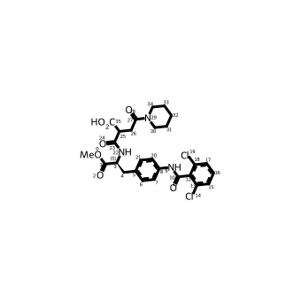 COC(=O)[C@H](Cc1ccc(NC(=O)c2c(Cl)cccc2Cl)cc1)NC(=O)C(CC(=O)N1CCCCC1)C(=O)O